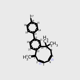 C=C1/C=C\C=C/CC(C)(C)c2cc(-c3ccc(I)cc3)ccc21